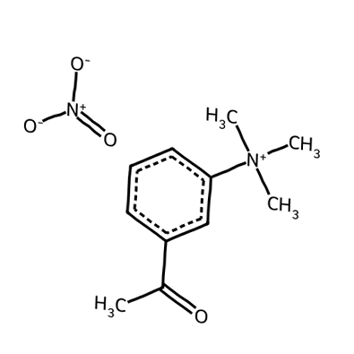 CC(=O)c1cccc([N+](C)(C)C)c1.O=[N+]([O-])[O-]